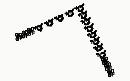 Cc1ccc[n+](C)c1.Cc1ccc[n+](C)c1.Cc1ccc[n+](C)c1.Cc1ccc[n+](C)c1.Cc1ccc[n+](C)c1.Cc1ccc[n+](C)c1.Cc1ccc[n+](C)c1.Cc1ccc[n+](C)c1.Cc1ccc[n+](C)c1.Cc1ccc[n+](C)c1.Cc1ccc[n+](C)c1.Cc1ccc[n+](C)c1.O=P([O-])([O-])F.O=P([O-])([O-])F.O=P([O-])([O-])F.O=P([O-])([O-])F.O=P([O-])([O-])F.O=P([O-])([O-])F